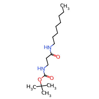 CCCCCCCCNC(=O)CCNC(=O)OC(C)(C)C